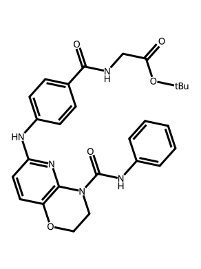 CC(C)(C)OC(=O)CNC(=O)c1ccc(Nc2ccc3c(n2)N(C(=O)Nc2ccccc2)CCO3)cc1